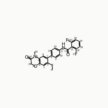 CCc1cc2c(cc1-c1ccc(NC(=O)c3c(F)cccc3F)cc1)N(C)C(=O)CO2